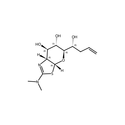 C=CC[C@@H](O)[C@H]1O[C@@H]2SC(N(C)C)=N[C@@H]2[C@@H](O)[C@@H]1O